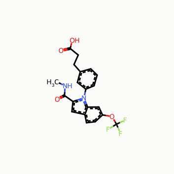 CNC(=O)c1cc2ccc(OC(F)(F)F)cc2n1-c1cccc(CCC(=O)O)c1